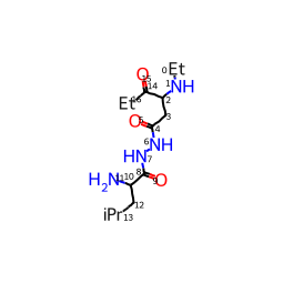 CCNC(CC(=O)NNC(=O)C(N)CC(C)C)C(=O)CC